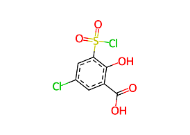 O=C(O)c1cc(Cl)cc(S(=O)(=O)Cl)c1O